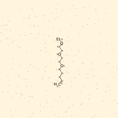 C=CCCCOCCOCCOCC